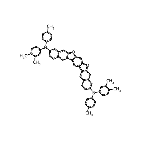 Cc1ccc(N(c2ccc(C)c(C)c2)c2ccc3cc4c(cc3c2)oc2cc3oc5cc6cc(N(c7ccc(C)cc7)c7ccc(C)c(C)c7)ccc6cc5c3cc24)cc1